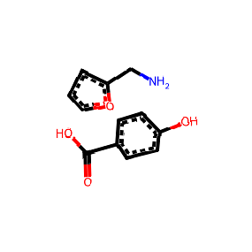 NCc1ccco1.O=C(O)c1ccc(O)cc1